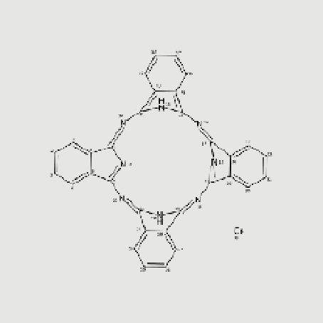 [Ce].c1ccc2c(c1)-c1nc-2nc2[nH]c(nc3nc(nc4[nH]c(n1)c1ccccc41)-c1ccccc1-3)c1ccccc21